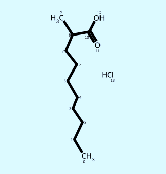 CCCCCCCCC(C)C(=O)O.Cl